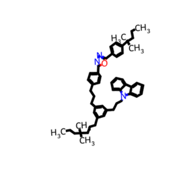 CCCC(C)(C)CCCc1cc(CCCc2ccc(-c3nnc(-c4ccc(C(C)(C)CCC)cc4)o3)cc2)cc(CCCn2c3ccccc3c3ccccc32)c1